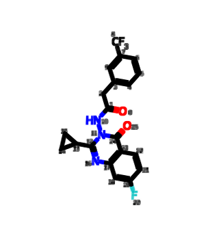 O=C(Cc1cccc(C(F)(F)F)c1)Nn1c(C2CC2)nc2cc(F)ccc2c1=O